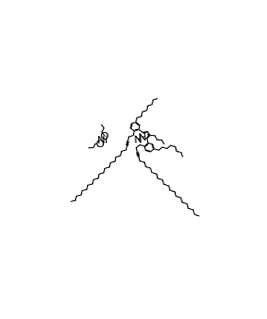 CCCCCCCCCCCCCCCCCCCCC#CCCc1ccc(CCCCCCCC)cc1C1=CC(CCCC)=C(c2cc(CCCCCCCC)ccc2CCC#CCCCCCCCCCCCCCCCCCCCC)[N+]1=[N-].CCC[O][Ni][O]CCC